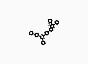 c1ccc(-c2ccc(-c3cc(-c4ccccc4)nc(-c4ccc(-c5ccc6nc(-c7ccccc7)c7c8ccccc8oc7c6c5)cc4)n3)cc2)cc1